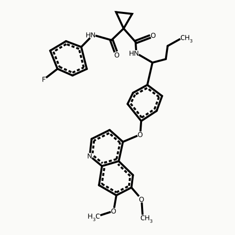 CCCC(NC(=O)C1(C(=O)Nc2ccc(F)cc2)CC1)c1ccc(Oc2ccnc3cc(OC)c(OC)cc23)cc1